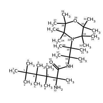 CC(C)(C)C(C)(C)C(C)(C)C(C)(N)C(=O)NC(C)(C)C(C)(C)N1C(C)(C)C(C)(C)OC(C)(C)C1(C)C